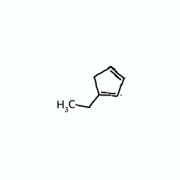 CCC1=[C]C=CC1